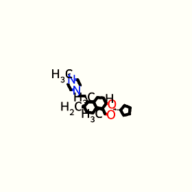 C=C1CCC2[C@]3(C)CO[C@@H](C4CCCC4)O[C@@H]3CC[C@@]2(C)[C@@H]1CCN1CCN(C)CC1